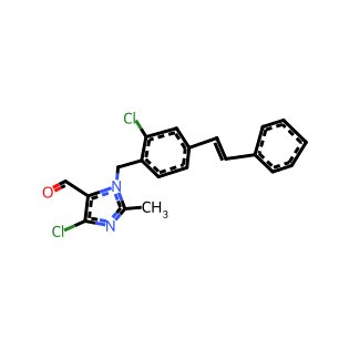 Cc1nc(Cl)c(C=O)n1Cc1ccc(C=Cc2ccccc2)cc1Cl